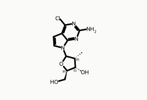 C[C@H]1C(n2ccc3c(Cl)nc(N)nc32)O[C@H](CO)[C@H]1O